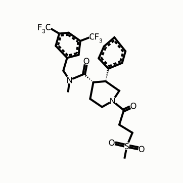 CN(Cc1cc(C(F)(F)F)cc(C(F)(F)F)c1)C(=O)[C@H]1CCN(C(=O)CCS(C)(=O)=O)C[C@H]1c1ccccc1